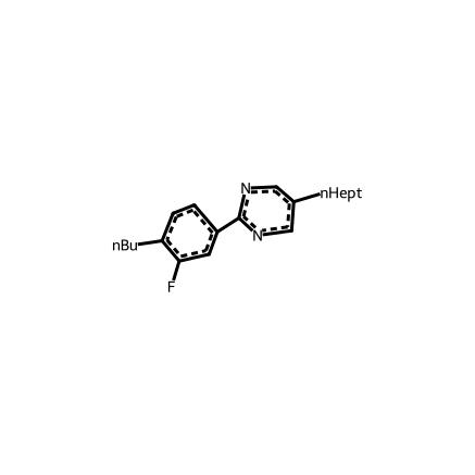 CCCCCCCc1cnc(-c2ccc(CCCC)c(F)c2)nc1